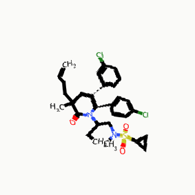 C=CCCC1(C)C[C@H](c2cccc(Cl)c2)[C@@H](c2ccc(Cl)cc2)N(C(CC)CN(C)S(=O)(=O)C2CC2)C1=O